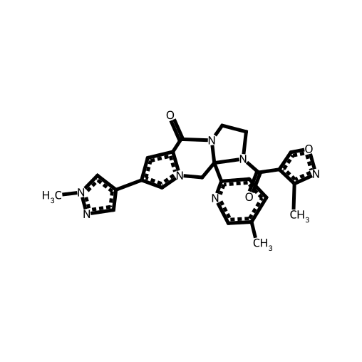 Cc1ccc(C23Cn4cc(-c5cnn(C)c5)cc4C(=O)N2CCN3C(=O)c2conc2C)nc1